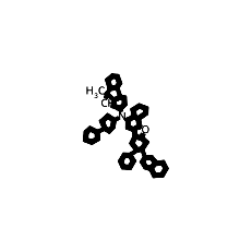 CC1(C)c2ccccc2-c2ccc(N(c3ccc(-c4ccccc4)cc3)c3cc4c5cc(-c6ccccc6)c(-c6ccc7ccccc7c6)cc5oc4c4ccccc34)cc21